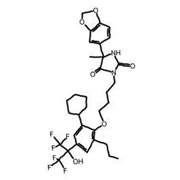 CCCc1cc(C(O)(C(F)(F)F)C(F)(F)F)cc(C2CCCCC2)c1OCCCCN1C(=O)NC(C)(c2ccc3c(c2)OCO3)C1=O